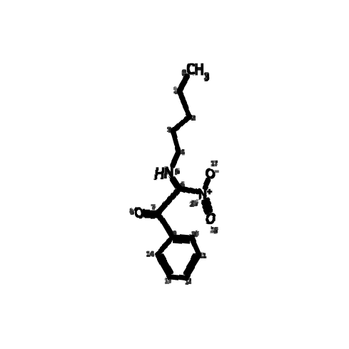 CCCCCNC(C(=O)c1ccccc1)[N+](=O)[O-]